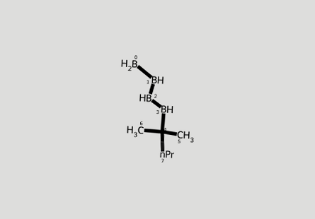 BBBBC(C)(C)CCC